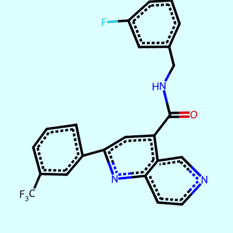 O=C(NCc1cccc(F)c1)c1cc(-c2cccc(C(F)(F)F)c2)nc2ccncc12